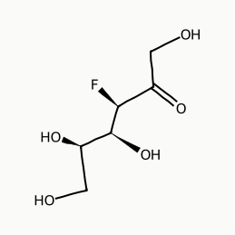 O=C(CO)[C@H](F)[C@@H](O)[C@H](O)CO